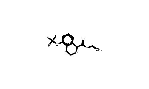 CCOC(=O)C1OCCc2c(OC(F)(F)F)cccc21